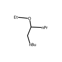 [CH2]COC(CCC)CCCCC